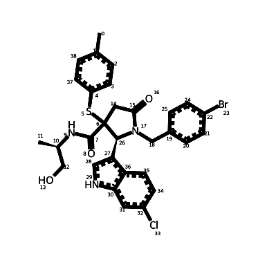 Cc1ccc(SC2(C(=O)N[C@H](C)CO)CC(=O)N(Cc3ccc(Br)cc3)[C@H]2c2c[nH]c3cc(Cl)ccc23)cc1